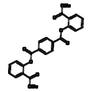 COC(=O)c1ccccc1OC(=O)c1ccc(C(=O)Oc2ccccc2C(=O)OC)cc1